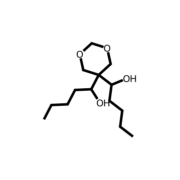 CCCCC(O)C1(C(O)CCCC)COCOC1